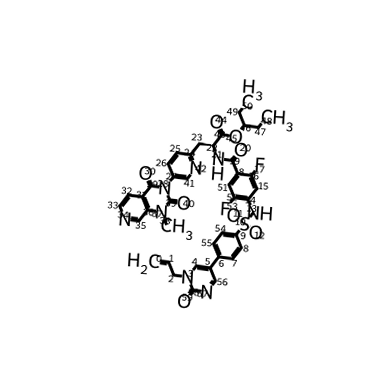 C=CCn1cc(-c2ccc(S(=O)(=O)Nc3cc(F)c(C(=O)N[C@@H](Cc4ccc(-n5c(=O)c6ccncc6n(C)c5=O)cn4)C(=O)OC(CC)CC)cc3F)cc2)cnc1=O